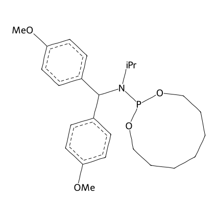 COc1ccc(C(c2ccc(OC)cc2)N(C(C)C)P2OCCCCCCCO2)cc1